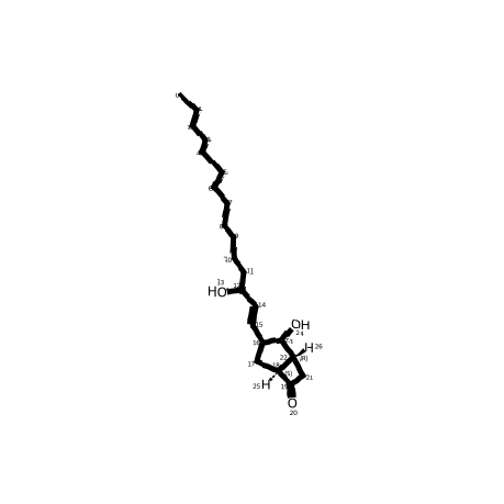 CCCCCCCCCCCCC(O)C=CC1C[C@@H]2C(=O)C[C@H]2C1O